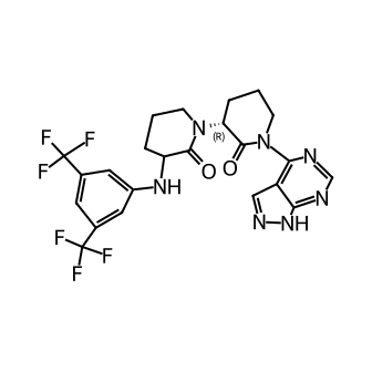 O=C1[C@H](N2CCCC(Nc3cc(C(F)(F)F)cc(C(F)(F)F)c3)C2=O)CCCN1c1ncnc2[nH]ncc12